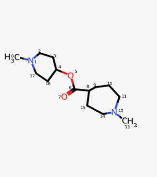 CN1CCC(OC(=O)C2CCCN(C)CC2)CC1